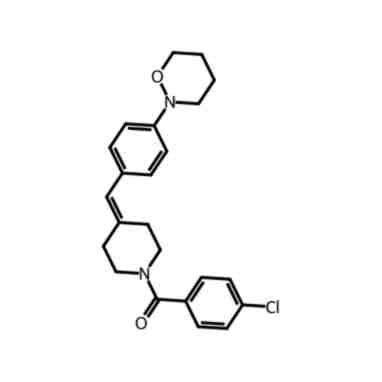 O=C(c1ccc(Cl)cc1)N1CCC(=Cc2ccc(N3CCCCO3)cc2)CC1